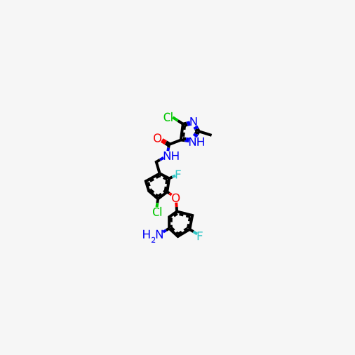 Cc1nc(Cl)c(C(=O)NCc2ccc(Cl)c(Oc3cc(N)cc(F)c3)c2F)[nH]1